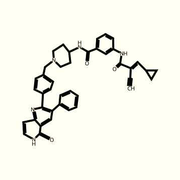 C#C/C(=C\C1CC1)C(=O)Nc1cccc(C(=O)NC2CCN(Cc3ccc(-c4nc5cc[nH]c(=O)c5cc4-c4ccccc4)cc3)CC2)c1